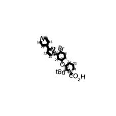 CC(C)(C)[C@@H]1[C@H](OC2CCC(Br)C(n3ccc(-c4ccncc4)n3)C2)CCCN1C(=O)O